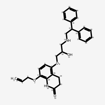 C=CCOc1ccc(OCC(O)CNCC(c2ccccc2)c2ccccc2)c2c1NC(=O)CC2